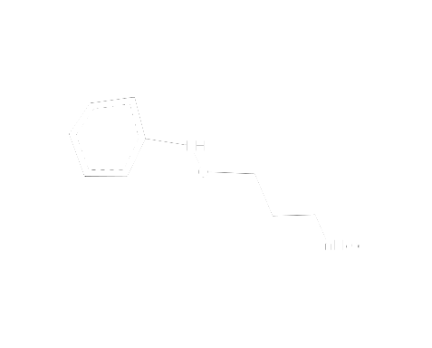 CCCCCCCCCOPc1ccccc1